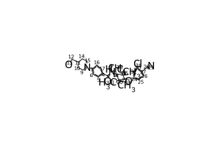 CN(C(=O)c1ccc(N2CCC(C=O)CC2)cc1)[C@H]1C(C)(C)[C@H](Oc2ccc(C#N)c(Cl)c2)C1(C)C